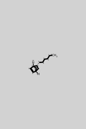 CCCCCC[C@@H]1C[C@@H]2C=C[C@H]1C2